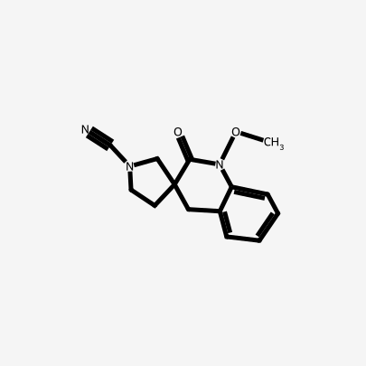 CON1C(=O)C2(CCN(C#N)C2)Cc2ccccc21